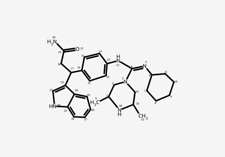 CC1CN(/C(=N\C2CCCCC2)Nc2ccc(C(CC(N)=O)c3c[nH]c4ccccc34)cc2)CC(C)N1